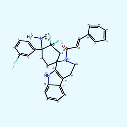 CN(C)C1(c2cccc(F)c2)CCC2(CC1(F)F)c1[nH]c3ccccc3c1CCN2C(=O)C=Cc1ccccc1